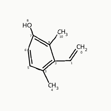 C=Cc1c(C)ccc(O)c1C